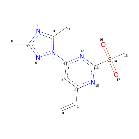 C=Cc1cc(-n2nc(C)nc2C)nc(S(C)(=O)=O)n1